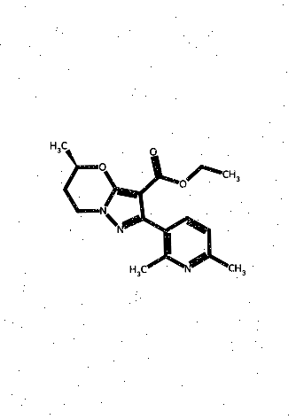 CCOC(=O)c1c(-c2ccc(C)nc2C)nn2c1O[C@H](C)CC2